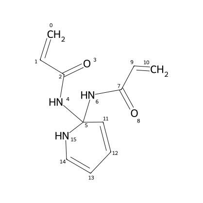 C=CC(=O)NC1(NC(=O)C=C)C=CC=CN1